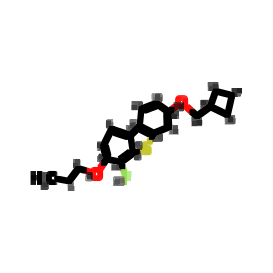 CCCOc1ccc2c(sc3cc(OCC4CCC4)ccc32)c1F